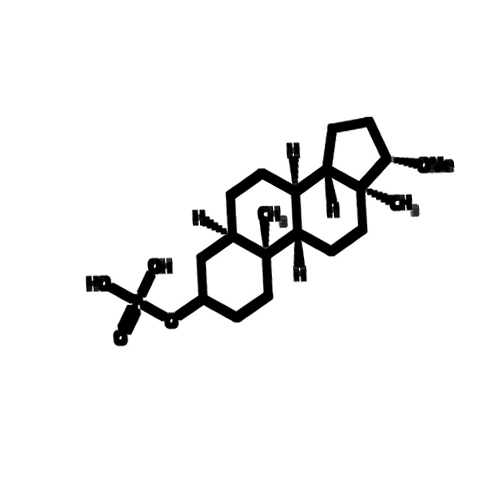 CO[C@H]1CC[C@H]2[C@@H]3CC[C@@H]4CC(OP(=O)(O)O)CC[C@]4(C)[C@H]3CC[C@]12C